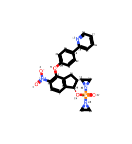 O=[N+]([O-])c1ccc2c(c1Oc1ccc(-c3ccccn3)cc1)CC[C@@H]2OP(=O)(N1CC1)N1CC1